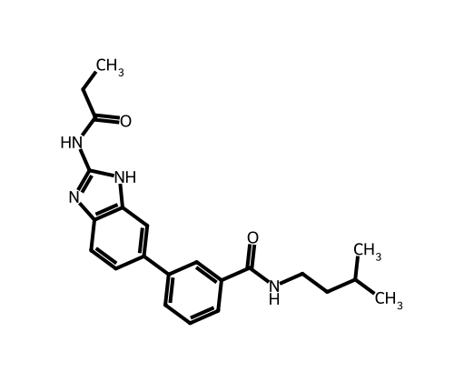 CCC(=O)Nc1nc2ccc(-c3cccc(C(=O)NCCC(C)C)c3)cc2[nH]1